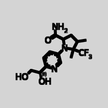 CC1CC(C(N)=O)N(c2ccc([C@@H](O)CO)nc2)C1(C)C(F)(F)F